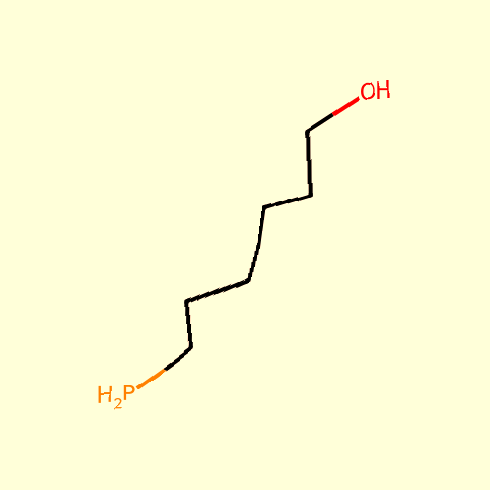 OCCCCCCP